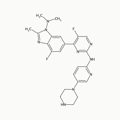 Cc1nc2c(F)cc(-c3nc(Nc4ccc(N5CCNCC5)cn4)ncc3F)cc2n1N(C)C